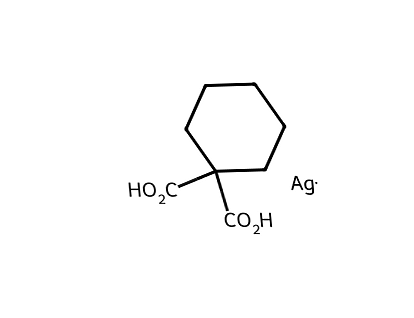 O=C(O)C1(C(=O)O)CCCCC1.[Ag]